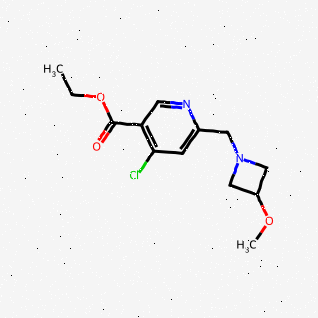 CCOC(=O)c1cnc(CN2CC(OC)C2)cc1Cl